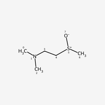 CN(C)CC[S+](C)[O-]